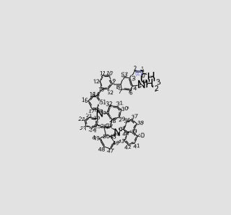 C/C=C\C1=C(N)C=CC(c2cccc(-c3cccc(N4c5ccccc5C5=C(c6ccccc64)N(c4cccc6ccccc46)C4C=CC=CC54)c3)c2)C1